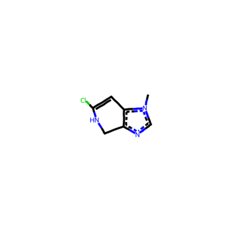 Cn1cnc2c1C=C(Cl)NC2